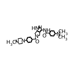 CN1CCN(c2ccc(C(=O)N3Cc4[nH]nc(NC(=O)c5ccc(N(C)C)cc5)c4C3)cc2)CC1